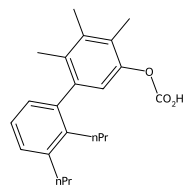 CCCc1cccc(-c2cc(OC(=O)O)c(C)c(C)c2C)c1CCC